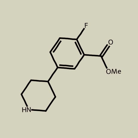 COC(=O)c1cc(C2CCNCC2)ccc1F